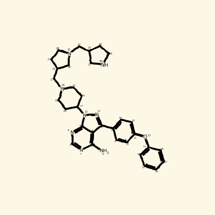 Nc1ncnc2c1c(-c1ccc(Oc3ccccc3)cc1)nn2C1CCN(CC2CCN(CC3CCNC3)C2)CC1